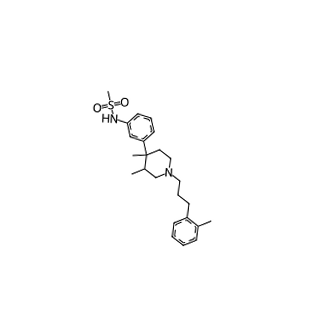 Cc1ccccc1CCCN1CCC(C)(c2cccc(NS(C)(=O)=O)c2)C(C)C1